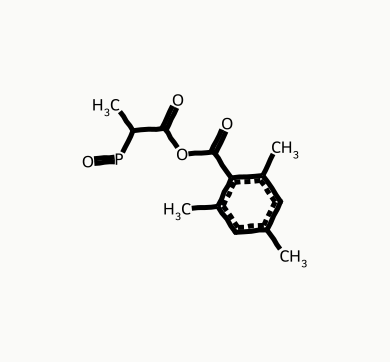 Cc1cc(C)c(C(=O)OC(=O)C(C)P=O)c(C)c1